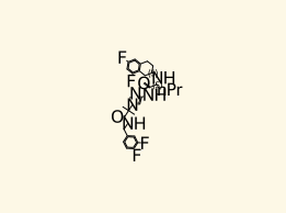 CCC[C@H](N[C@H]1CCc2cc(F)cc(F)c2C1)C(=O)Nc1cn(C(C)(C)C(=O)NCc2ccc(F)c(F)c2)cn1